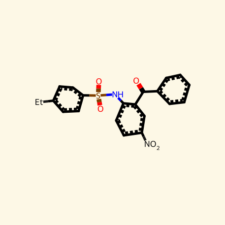 CCc1ccc(S(=O)(=O)Nc2ccc([N+](=O)[O-])cc2C(=O)c2ccccc2)cc1